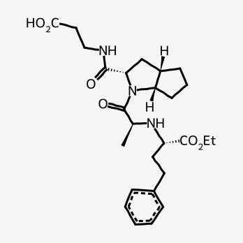 CCOC(=O)[C@H](CCc1ccccc1)N[C@@H](C)C(=O)N1[C@H](C(=O)NCCC(=O)O)C[C@@H]2CCC[C@@H]21